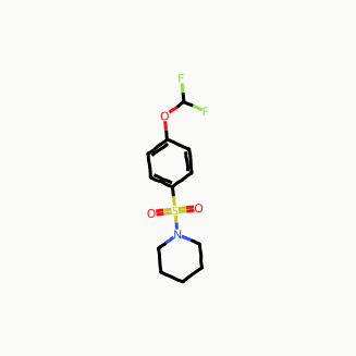 O=S(=O)(c1ccc(OC(F)F)cc1)N1CCCCC1